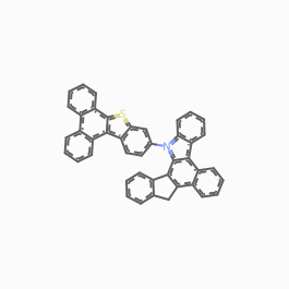 c1ccc2c(c1)Cc1c-2c2c(c3ccccc13)c1ccccc1n2-c1ccc2c(c1)sc1c3ccccc3c3ccccc3c21